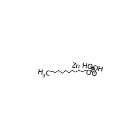 CCCCCCCCCCCCOP(=O)(O)O.[Zn]